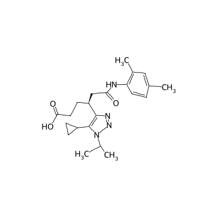 Cc1ccc(NC(=O)C[C@H](CCC(=O)O)c2nnn(C(C)C)c2C2CC2)c(C)c1